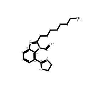 CCCCCCCCc1nc2cccc(C3=NCCO3)c2n1C=O